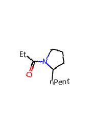 CCCCCC1CCCN1C(=O)CC